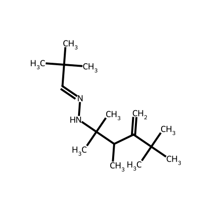 C=C(C(C)C(C)(C)NN=CC(C)(C)C)C(C)(C)C